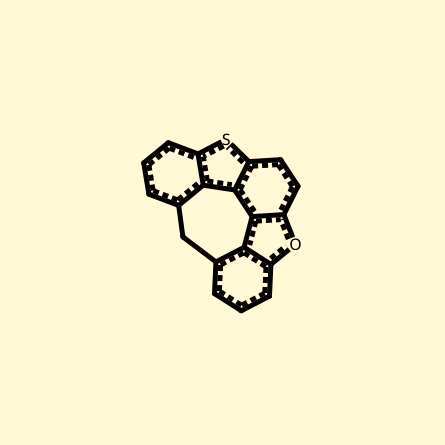 c1cc2c3c(c1)oc1ccc4sc5cccc(c5c4c13)C2